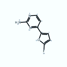 Nc1nccc(-c2ccc(F)o2)n1